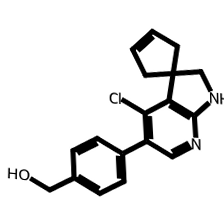 OCc1ccc(-c2cnc3c(c2Cl)C2(CC=CC2)CN3)cc1